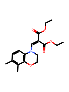 CCOC(=O)C(=CN1CCOc2c1ccc(C)c2C)C(=O)OCC